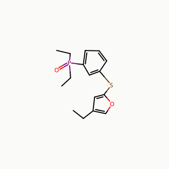 CCc1coc(Sc2cccc(P(=O)(CC)CC)c2)c1